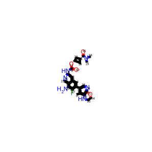 Cc1c(-c2cc3cc(NC(=O)O[C@H]4C[C@@H](C(=O)N(C)C)C4)ncc3c(N)c2F)cnc2c1NCCO2